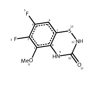 COc1c(F)c(F)cc2c1NC(=O)NS2